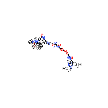 COc1cccc(OC)c1-c1cc(C(=O)NC2(C(=O)O)C3CC4CC(C3)CC2C4)nn1-c1ccc(C(=O)N(C)CCCN(C)CCCN(C)C(=O)CCC(=O)NCCCOCCOCCOCCCNC(=O)CCC(C(=O)O)N2CCN(CC(=O)O)CCN(CC(=O)O)CC2)cc1C(C)C